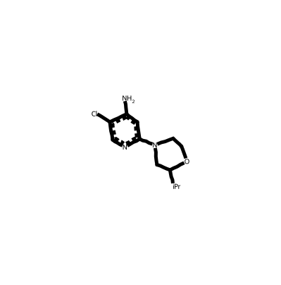 CC(C)C1CN(c2cc(N)c(Cl)cn2)CCO1